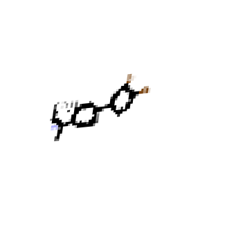 C/C(=C/C(=O)O)c1ccc(-c2ccc(Br)c(Br)c2)cc1